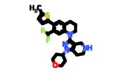 Cc1ccc(-c2cc3c(cc2C(F)F)N(c2nn(C4CCOCC4)c4c2CNCC4)CCC3)s1